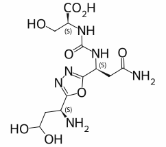 NC(=O)C[C@H](NC(=O)N[C@@H](CO)C(=O)O)c1nnc([C@@H](N)CC(O)O)o1